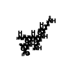 CNCCCCC(CC(=O)NC(CCCCNC)CC(=O)NC(CCCCNC)CC(=O)NC(CCC(C)=O)CC(C)=O)NC